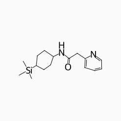 C[Si](C)(C)C1CCC(NC(=O)Cc2ccccn2)CC1